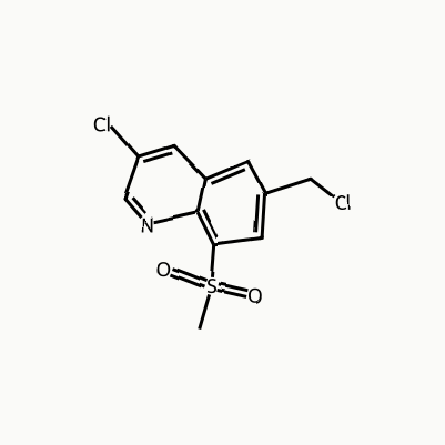 CS(=O)(=O)c1cc(CCl)cc2cc(Cl)cnc12